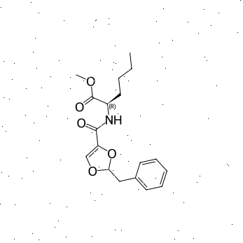 CCCC[C@@H](NC(=O)C1=COC(Cc2ccccc2)O1)C(=O)OC